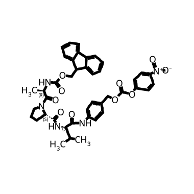 CC(C)[C@H](NC(=O)[C@@H]1CCCN1C(=O)[C@@H](C)NC(=O)OCC1c2ccccc2-c2ccccc21)C(=O)Nc1ccc(COC(=O)Oc2ccc([N+](=O)[O-])cc2)cc1